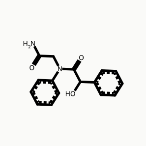 NC(=O)CN(C(=O)C(O)c1ccccc1)c1ccccc1